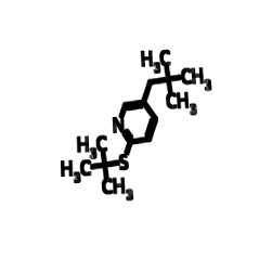 CC(C)(C)Cc1ccc(SC(C)(C)C)nc1